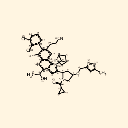 Cc1cc(COC2CC(c3cc4c(C(C)O)nc5c(F)c(-c6cccc(Cl)c6Cl)c(CCC#N)cc5c4n3C3C4CNC3C4)N(C(=O)C3CC3)C2)ns1